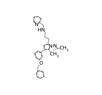 C/C=N/n1c(CCCNCc2ccccn2)cc(-c2cccc(OCc3ccccc3)c2)c1C